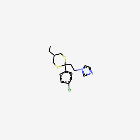 CCC1CSC(CCn2ccnc2)(c2ccc(Cl)cc2)SC1